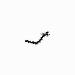 C=C[SiH](OC)OCCCCCCCC/C=C\CCCCCCCC